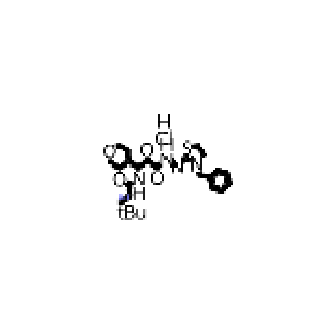 CC(C)(C)/C=C/C(=O)NC(C(=O)C(=O)NN=C1SCCN1Cc1ccccc1)C1CCOCC1.Cl